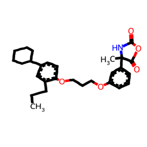 CCCc1cc(C2CCCCC2)ccc1OCCCOc1cccc(C2(C)NC(=O)OC2=O)c1